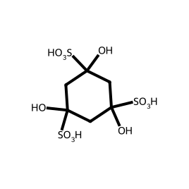 O=S(=O)(O)C1(O)CC(O)(S(=O)(=O)O)CC(O)(S(=O)(=O)O)C1